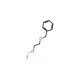 ISOCCOCc1ccccc1